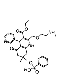 CCOC(=O)C1=C(COCCN)NC2=C(C(=O)CC(C)(C)C2)C1c1cccnc1.O=S(=O)(O)c1ccccc1